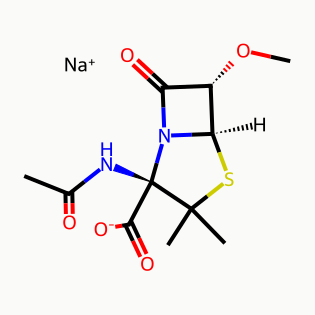 CO[C@H]1C(=O)N2[C@@H]1SC(C)(C)[C@]2(NC(C)=O)C(=O)[O-].[Na+]